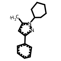 [CH2]c1cc(-c2ccccc2)nn1C1CCCCC1